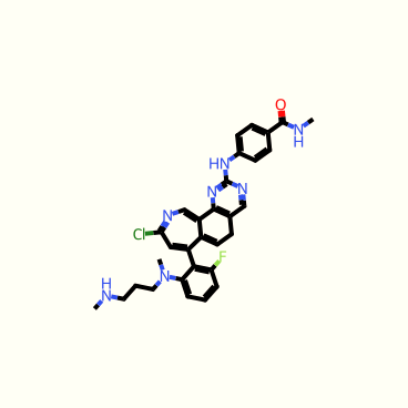 CNCCCN(C)c1cccc(F)c1C1=CC(Cl)=NC=C2C1=CCc1cnc(Nc3ccc(C(=O)NC)cc3)nc12